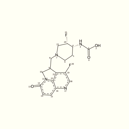 O=C(O)N[C@@H]1CCN(CC2Cn3c(=O)ccc4ncc(F)c2c43)C[C@@H]1F